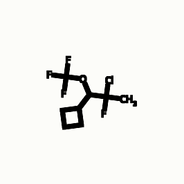 CC(F)(Cl)C(OC(F)(F)F)C1CCC1